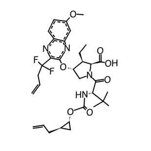 C=CC[C@@H]1C[C@H]1OC(=O)N[C@H](C(=O)N1C[C@H](Oc2nc3cc(OC)ccc3nc2C(F)(F)CC=C)[C@@H](CC)[C@H]1C(=O)O)C(C)(C)C